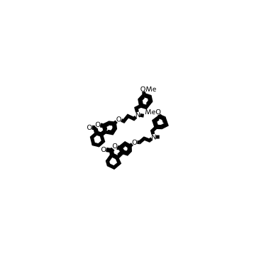 COc1cccc(CN(C)CCCOc2ccc3c4c(c(=O)oc3c2)CCCC4)c1.COc1cccc(CN(C)CCCOc2ccc3c4c(c(=O)oc3c2)CCCC4)c1